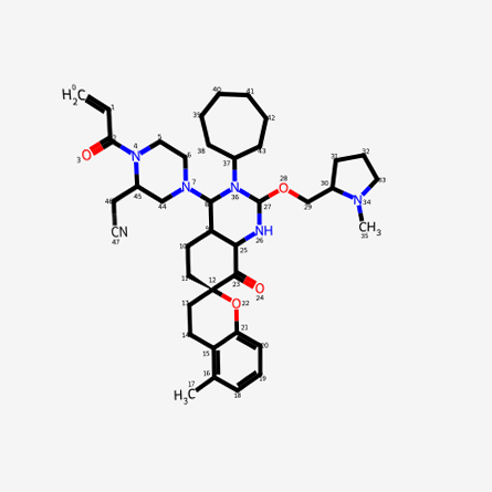 C=CC(=O)N1CCN(C2C3CC[C@@]4(CCc5c(C)cccc5O4)C(=O)C3NC(OCC3CCCN3C)N2C2CCCCCC2)CC1CC#N